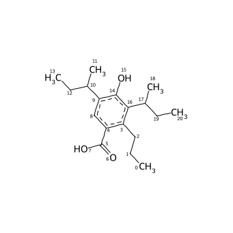 CCCc1c(C(=O)O)cc(C(C)CC)c(O)c1C(C)CC